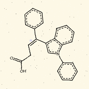 O=C(O)C/C=C(/c1ccccc1)c1cn(-c2ccccc2)c2ccccc12